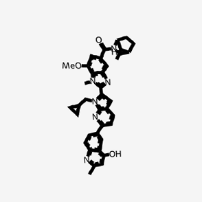 COc1cc(C(=O)N2CC3CCC2[C@@H]3C)cc2nc(-c3cc4ccc(-c5ccc6nc(C)cc(O)c6c5)nc4n3CC3CC3)n(C)c12